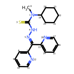 CN(C(=S)NN=C(c1ccccn1)c1ccccn1)C1CCCCC1